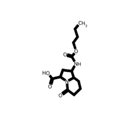 CCCCOC(=O)NC1CC(C(=O)O)N2C(=O)CCCC12